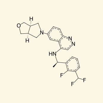 C[C@@H](Nc1cnnc2ccc(N3C[C@H]4COC[C@H]4C3)cc12)c1cccc(C(F)F)c1F